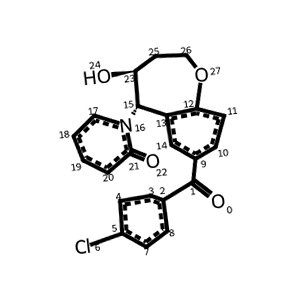 O=C(c1ccc(Cl)cc1)c1ccc2c(c1)[C@H](n1ccccc1=O)[C@@H](O)CCO2